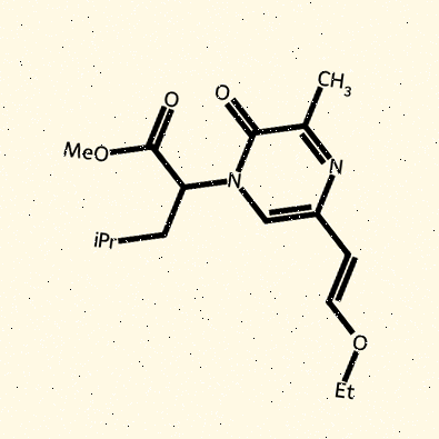 CCOC=Cc1cn(C(CC(C)C)C(=O)OC)c(=O)c(C)n1